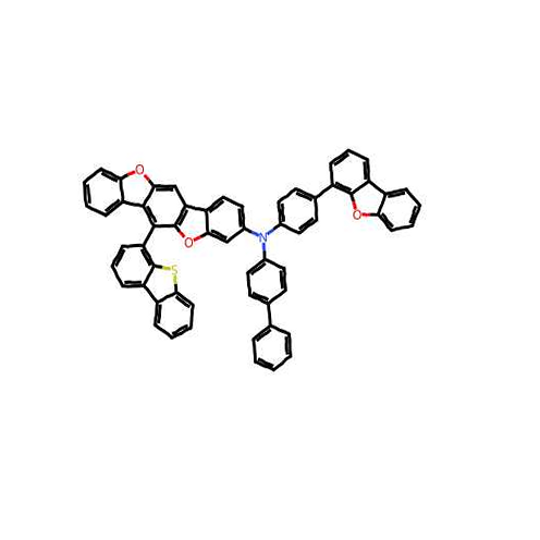 c1ccc(-c2ccc(N(c3ccc(-c4cccc5c4oc4ccccc45)cc3)c3ccc4c(c3)oc3c(-c5cccc6c5sc5ccccc56)c5c(cc34)oc3ccccc35)cc2)cc1